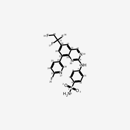 NS(=O)(=O)c1ccc(Nc2ncc3cc(C(F)(F)CF)cc(-c4ccc(F)nc4)c3n2)cc1